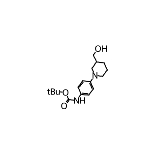 CC(C)(C)OC(=O)Nc1ccc(N2CCCC(CO)C2)cc1